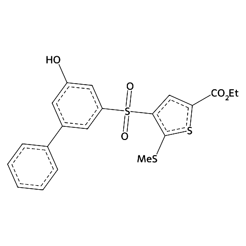 CCOC(=O)c1cc(S(=O)(=O)c2cc(O)cc(-c3ccccc3)c2)c(SC)s1